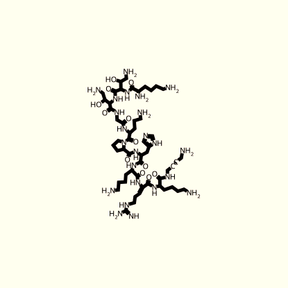 N=C(N)NCC/C=C(\NC(=O)C(CCCCN)NC(=O)C(Cc1cnc[nH]1)NC(=O)C1CCCN1C(=O)C(CCCN)NC(=O)CNC(=O)C(NC(=O)C(NC(=O)C(N)CCCCN)C(O)CN)C(O)CN)C(=O)NC(CCCCN)C(=O)NCCCCN